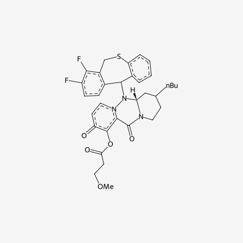 CCCCC1CCN2C(=O)c3c(OC(=O)CCOC)c(=O)ccn3N(C3c4ccccc4SCc4c3ccc(F)c4F)[C@@H]2C1